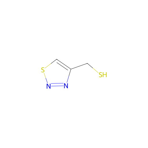 SCc1csnn1